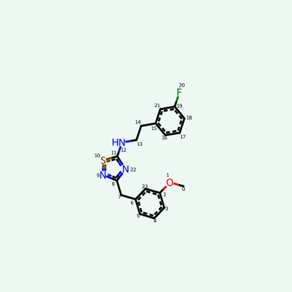 COc1cccc(Cc2nsc(NCCc3cccc(F)c3)n2)c1